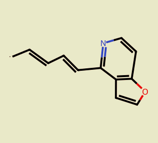 [CH2]C=CC=Cc1nccc2occc12